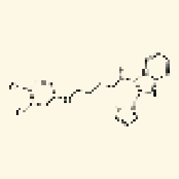 Clc1ccc(OCCCCNc2c(-c3ccco3)nc3ccccn23)cc1Cl